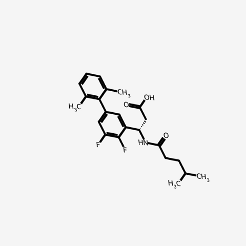 Cc1cccc(C)c1-c1cc(F)c(F)c([C@H](CC(=O)O)NC(=O)CCC(C)C)c1